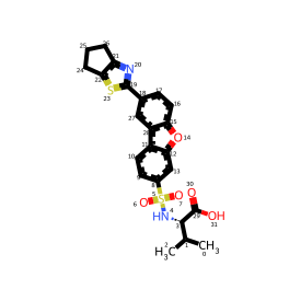 CC(C)[C@H](NS(=O)(=O)c1ccc2c(c1)oc1ccc(-c3nc4c(s3)CCC4)cc12)C(=O)O